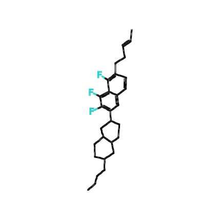 C/C=C/CCc1ccc2cc(C3CCC4CC(CCCC)CCC4C3)c(F)c(F)c2c1F